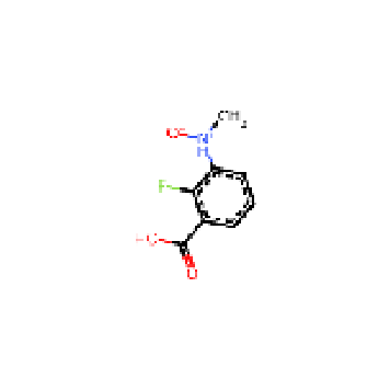 C[NH+]([O-])c1cccc(C(=O)O)c1F